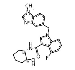 Cn1cnc2cc(Cn3cc(C(=O)N[C@H]4CCCC[C@@H]4O)c4c(F)cccc43)ccc21